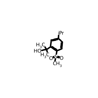 CC(C)c1ccc(S(C)(=O)=O)c(C(C)(C)O)c1